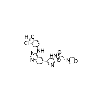 Cc1ccc(Nc2ncnc3ccc(-c4cncc(NS(=O)(=O)CCN5CCOCC5)c4)cc23)cc1Cl